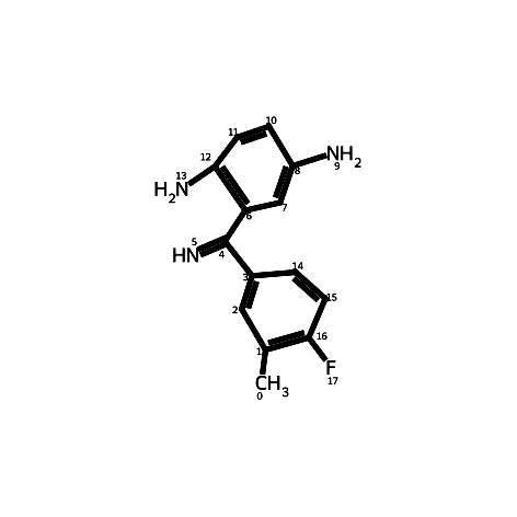 Cc1cc(C(=N)c2cc(N)ccc2N)ccc1F